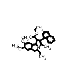 CCOC(=O)C1C(c2cccc3ccccc23)=C(C)N2C1=C1C=C(OC)C(OC)C=C1CC2CC